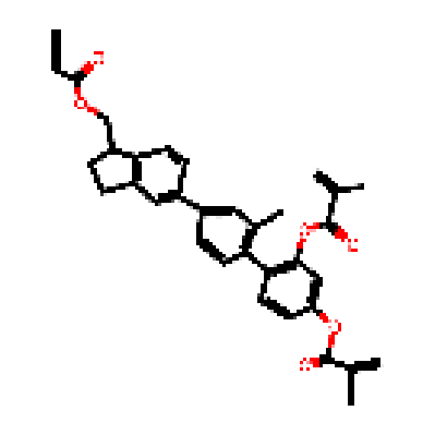 C=CC(=O)OCC1CCc2cc(-c3ccc(-c4ccc(OC(=O)C(=C)C)cc4OC(=O)C(=C)C)c(C)c3)ccc21